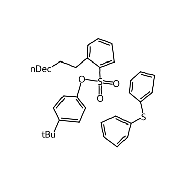 CCCCCCCCCCCCc1ccccc1S(=O)(=O)Oc1ccc(C(C)(C)C)cc1.c1ccc(Sc2ccccc2)cc1